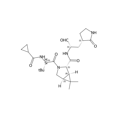 CC1(C)[C@@H]2[C@@H](C(=O)N[C@H](C=O)C[C@@H]3CCNC3=O)N(C(=O)[Si@@H](NC(=O)C3CC3)C(C)(C)C)C[C@@H]21